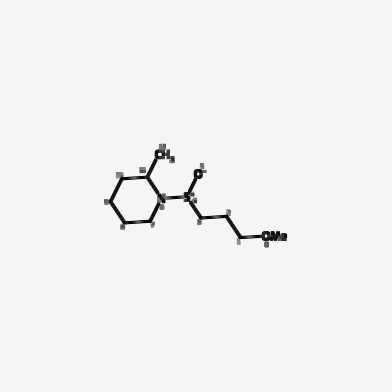 COCCC[S+]([O-])N1CCCCC1C